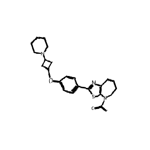 CC(=O)N1CCCCc2nc(-c3ccc(OC4CC(N5CCCCC5)C4)cc3)sc21